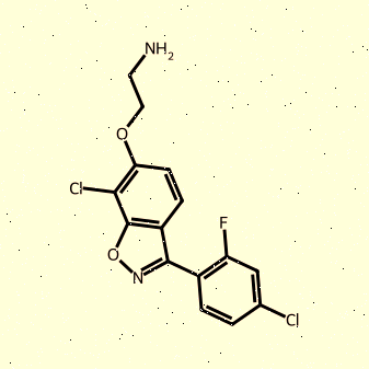 NCCOc1ccc2c(-c3ccc(Cl)cc3F)noc2c1Cl